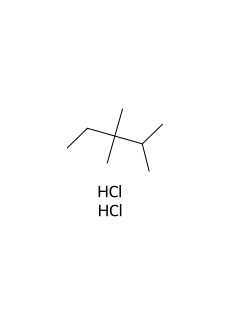 CCC(C)(C)C(C)C.Cl.Cl